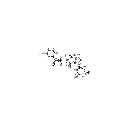 C#Cc1ccnc(C(=O)N2CCC3(CC2)O[C@@H]2CC[C@@H](c4cc(F)cc(F)c4)N2C3=O)c1